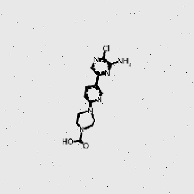 Nc1nc(-c2ccc(N3CCN(C(=O)O)CC3)nc2)cnc1Cl